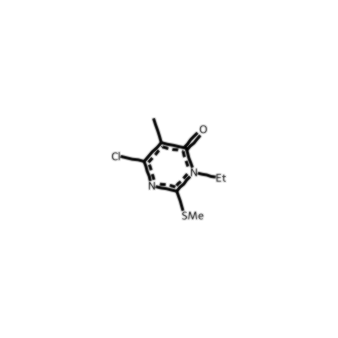 CCn1c(SC)nc(Cl)c(C)c1=O